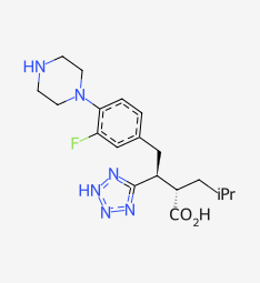 CC(C)C[C@H](C(=O)O)[C@H](Cc1ccc(N2CCNCC2)c(F)c1)c1nn[nH]n1